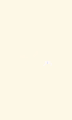 N/C=C\C(=O)O